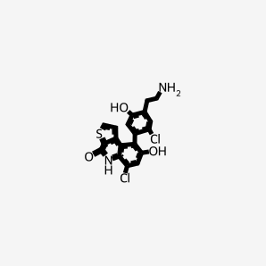 NCCc1cc(Cl)c(-c2c(O)cc(Cl)c3[nH]c(=O)c4sccc4c23)cc1O